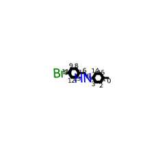 Cc1ccc(NCc2ccc(Br)cc2)cc1